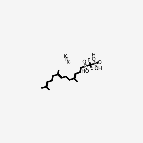 CC(C)=CCCC(C)=CCCC(C)=CCCP(=O)(O)C(F)(F)P(=O)(O)O.[K].[K].[K]